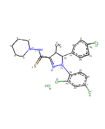 CC1C(C(=S)NN2CCCCC2)=NN(c2ccc(Cl)cc2Cl)C1c1ccc(Cl)cc1.Cl